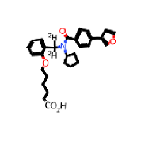 [2H]C([2H])(c1ccccc1OCCCCCC(=O)O)N(C(=O)c1ccc(-c2ccoc2)cc1)C1CCCC1